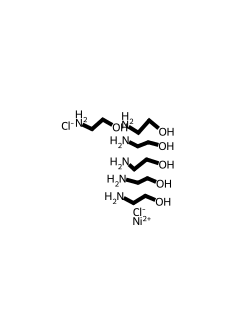 NCCO.NCCO.NCCO.NCCO.NCCO.NCCO.[Cl-].[Cl-].[Ni+2]